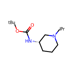 CC(C)N1CCC[C@H](NC(=O)OC(C)(C)C)C1